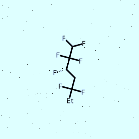 [CH2]CC(F)(F)C[C@H](F)C(F)(F)C(F)F